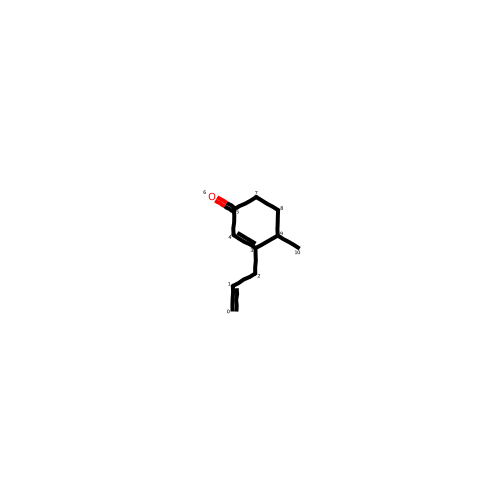 C=CCC1=CC(=O)CCC1C